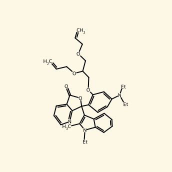 C=CCOCC(COc1cc(N(CC)CC)ccc1C1(c2c(C)n(CC)c3ccccc23)OC(=O)c2cccnc21)OCC=C